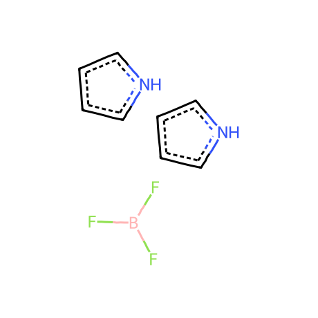 FB(F)F.c1cc[nH]c1.c1cc[nH]c1